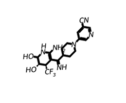 N#Cc1cncc(N2CCC(C(=N)C3=C(N)NC(O)[C@H](O)[C@@H]3C(F)(F)F)CC2)c1